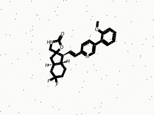 COc1ccccc1-c1ccc(/C=C/[C@H]2[C@@H]3CCC(F)(F)C[C@H]3CC23CNC(=O)O3)nc1